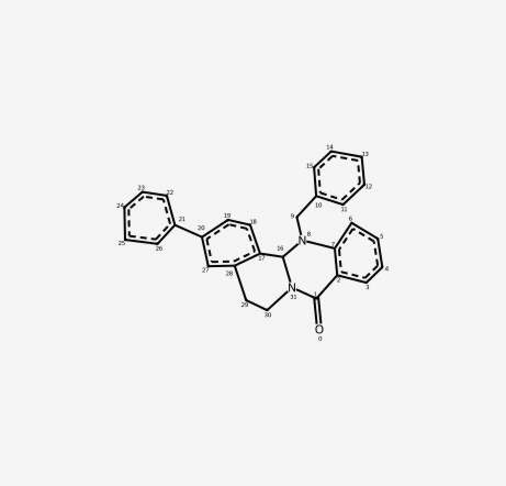 O=C1c2ccccc2N(Cc2ccccc2)C2c3ccc(-c4ccccc4)cc3CCN12